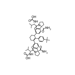 CC(C)[C@H](NC(=O)O)C(=O)N1CCC[C@@]1(C(N)=O)c1ccc(C2=C(c3ccc(C(C)(C)C)cc3)C(c3ccc([C@]4(C(N)=O)CCCN4C(=O)[C@@H](NC(=O)O)C(C)C)cc3)CCC2)cc1